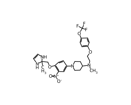 CN(CCOc1ccc(OC(F)(F)F)cc1)C1CCN(c2ccc(OCC3(C)NC=CN3)c([N+](=O)[O-])c2)CC1